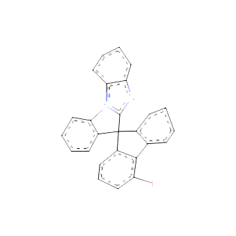 Brc1cccc2c1-c1ccccc1C21c2ccccc2-n2c1nc1ccccc12